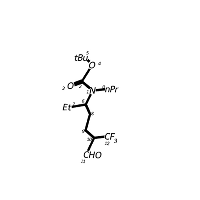 CCCN(C(=O)OC(C)(C)C)C(CC)CCC(C=O)C(F)(F)F